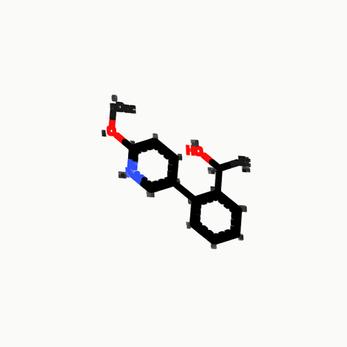 CCCCCCCCCCOc1ccc(-c2ccccc2C(O)CC)cn1